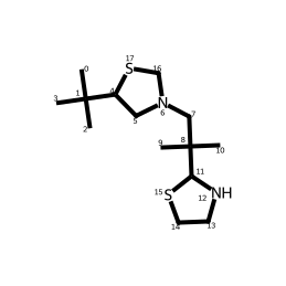 CC(C)(C)C1CN(CC(C)(C)C2NCCS2)CS1